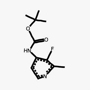 Cc1nccc(NC(=O)OC(C)(C)C)c1F